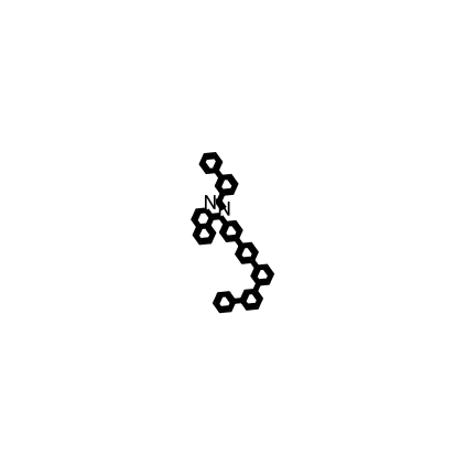 c1ccc(-c2cccc(-c3cccc(-c4ccc(-c5ccc(-c6nc(-c7cccc(-c8ccccc8)c7)nc7ccc8ccccc8c67)cc5)cc4)c3)c2)cc1